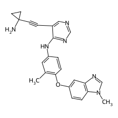 Cc1cc(Nc2ncncc2C#CC2(N)CC2)ccc1Oc1ccc2c(c1)ncn2C